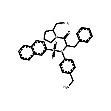 NCc1ccc(N(C(Cc2ccccc2)C(=O)N2CCCC2CN)S(=O)(=O)c2ccc3ccccc3c2)cc1